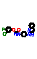 O=C(COc1ccc(F)c(Cl)c1)N[C@H]1CC[C@@H](Nc2ccc3ccccc3n2)CC1